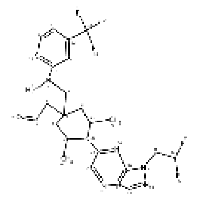 CC1CC(CC=O)(CN(C)c2cc(C(F)(F)F)ccn2)CC(C)N1c1cnc2cnn(CC(F)F)c2n1